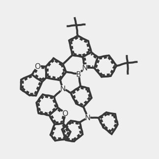 CC(C)(C)c1ccc2c(c1)c1cc(C(C)(C)C)cc3c1n2B1c2ccc(N(c4ccccc4)c4ccccc4)cc2N(c2cccc4c2oc2ccccc24)c2c1c-3cc1oc3ccccc3c21